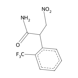 NC(=O)C(C[N+](=O)[O-])c1ccccc1C(F)(F)F